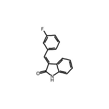 O=C1Nc2ccccc2/C1=C\c1cccc(F)c1